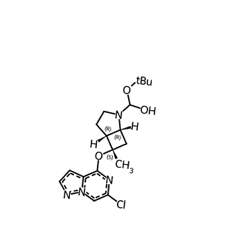 CC(C)(C)OC(O)N1CC[C@@H]2[C@H]1C[C@]2(C)Oc1nc(Cl)cn2nccc12